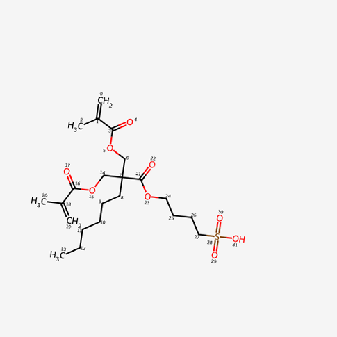 C=C(C)C(=O)OCC(CCCCCC)(COC(=O)C(=C)C)C(=O)OCCCCS(=O)(=O)O